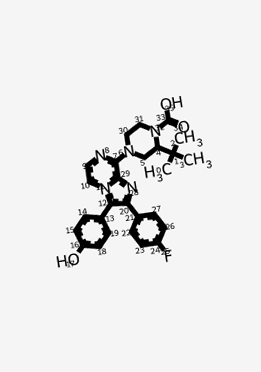 CC(C)(C)C1CN(c2nccn3c(-c4ccc(O)cc4)c(-c4ccc(F)cc4)nc23)CCN1C(=O)O